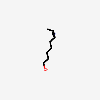 C/C=C\CCCCCO